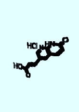 Cl.O=C(O)C=Cc1cnc2[nH]c(=O)ccc2c1